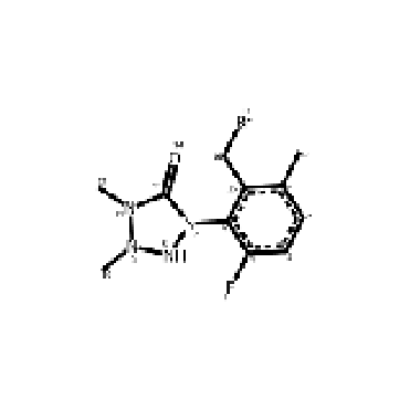 Cc1ccc(F)c(N2NN(C)N(C)C2=O)c1CBr